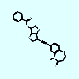 CN1C(=O)CCOc2ccc(C#CC3COC4C(OC(=O)c5ccccc5)COC34)cc21